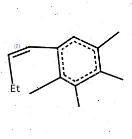 CC/C=[C]\c1cc(C)c(C)c(C)c1C